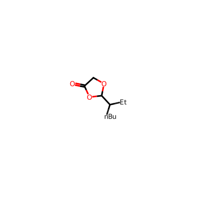 CCCCC(CC)C1OCC(=O)O1